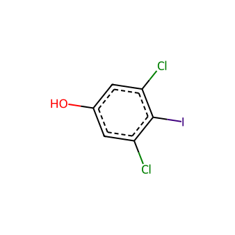 Oc1cc(Cl)c(I)c(Cl)c1